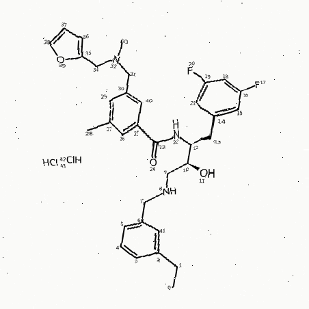 CCc1cccc(CNC[C@H](O)[C@H](Cc2cc(F)cc(F)c2)NC(=O)c2cc(C)cc(CN(C)Cc3ccco3)c2)c1.Cl.Cl